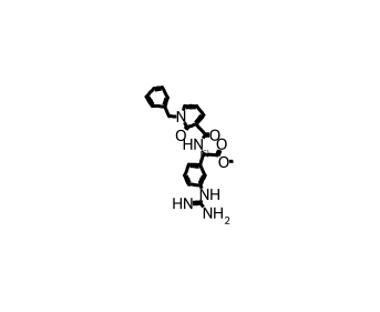 COC(=O)[C@@H](NC(=O)c1cccn(Cc2ccccc2)c1=O)c1cccc(NC(=N)N)c1